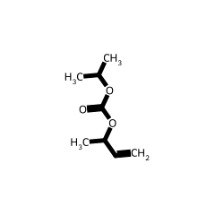 C=CC(C)OC(=O)OC(C)C